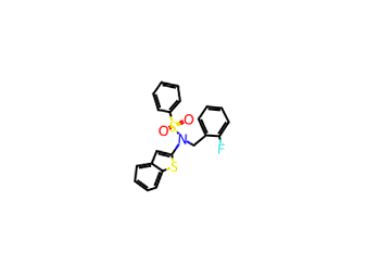 O=S(=O)(c1ccccc1)N(Cc1ccccc1F)c1cc2ccccc2s1